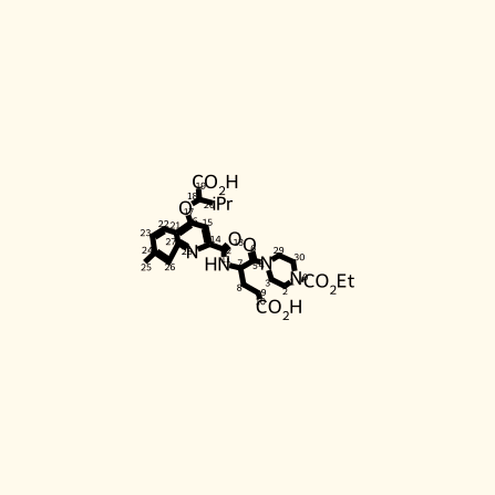 CCOC(=O)N1CCN(C(=O)C(CCC(=O)O)NC(=O)c2cc(OC(C(=O)O)C(C)C)c3ccc(C)cc3n2)CC1